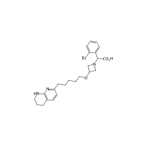 CCc1ccccc1C(C(=O)O)N1CC(OCCCCCc2ccc3c(n2)NCCC3)C1